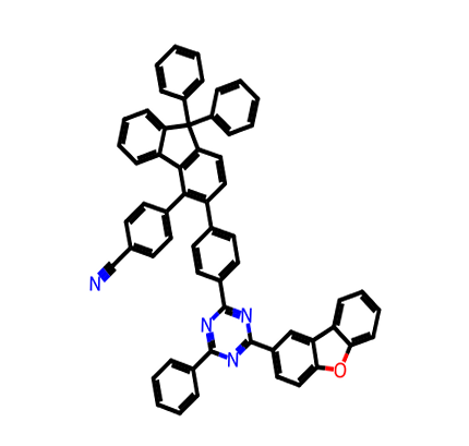 N#Cc1ccc(-c2c(-c3ccc(-c4nc(-c5ccccc5)nc(-c5ccc6oc7ccccc7c6c5)n4)cc3)ccc3c2-c2ccccc2C3(c2ccccc2)c2ccccc2)cc1